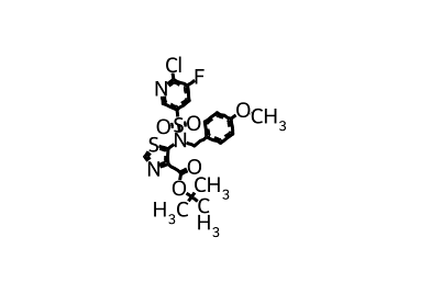 COc1ccc(CN(c2scnc2C(=O)OC(C)(C)C)S(=O)(=O)c2cnc(Cl)c(F)c2)cc1